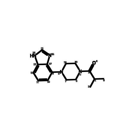 CC(C)C(=O)N1CCN(c2cccc3[nH]cnc23)CC1